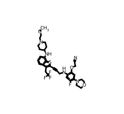 COCCN1CCC(Nc2cccc3c(CC(F)(F)F)c(C#CCNc4cc(F)c(N5CCOCC5)cc4OCC#N)sc23)CC1